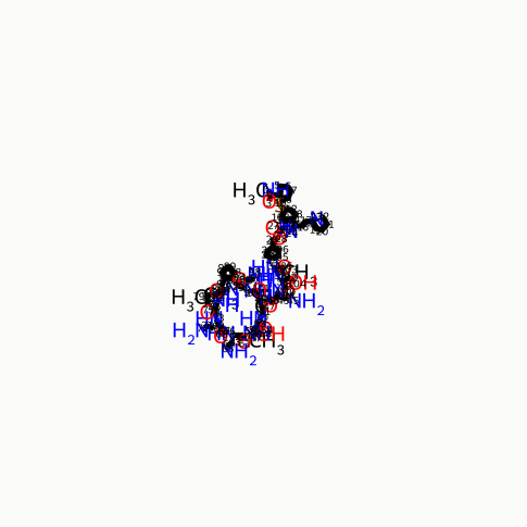 CNC(=O)c1ccccc1Sc1ccc2c(/C=C/c3ccccn3)nn(C(=O)OCc3ccc(NC(=O)N[C@H](C(=O)N[C@@H](CCN)C(=O)N[C@H]4CCNC(=O)[C@H]([C@@H](C)O)NC(=O)[C@H](CCN)NC(=O)[C@H](CCN)NC(=O)[C@H](CC(C)C)NC(=O)[C@@H](Cc5ccccc5)NC(=O)[C@H](CCN)NC4=O)[C@@H](C)O)cc3)c2c1